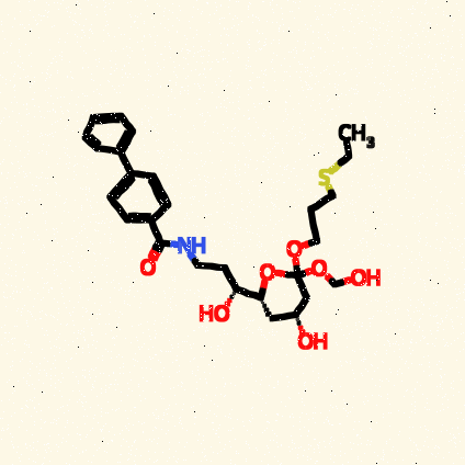 CCSCCCOC1(OCO)C[C@H](O)C[C@H]([C@H](O)CCNC(=O)c2ccc(-c3ccccc3)cc2)O1